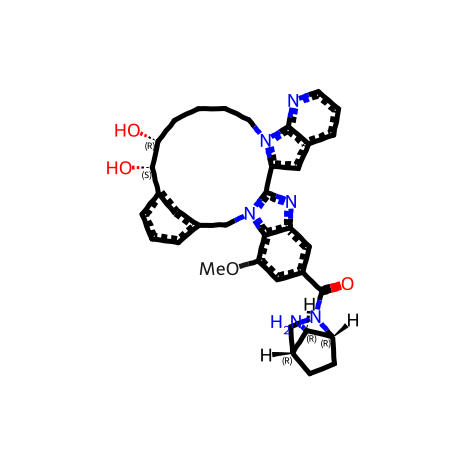 COc1cc(C(=O)N2C[C@H]3CC[C@@H]2[C@@H]3N)cc2nc3n(c12)Cc1cccc(c1)[C@H](O)[C@H](O)CCCCn1c-3cc2cccnc21